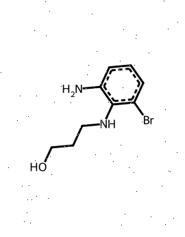 Nc1cccc(Br)c1NCCCO